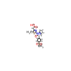 Cc1sc(NC(=O)[C@H](CC2CCCC2)c2ccc(S(C)(=O)=O)cc2)nc1CC(=O)O